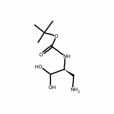 CC(C)(C)OC(=O)N[C@@H](CN)C(O)O